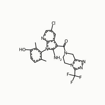 Cc1ccc(O)c(C)c1-n1c(N)c(C(=O)N2CCn3c(nnc3C(F)(F)F)C2)c2cc(Cl)cnc21